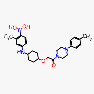 Cc1ccc(N2CCN(C(=O)COC3CCC(Nc4ccc(N(O)O)c(C(F)(F)F)c4)CC3)CC2)cc1